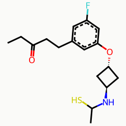 CCC(=O)CCc1cc(F)cc(O[C@H]2C[C@H](NC(C)S)C2)c1